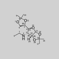 CCN[C@@H]1[C@@H]([C@H]2COC(C)(C)O2)OC2OC(C)(C)O[C@@H]21